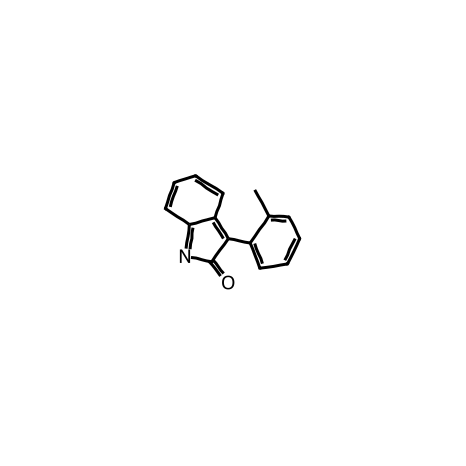 Cc1ccccc1C1=c2ccccc2=NC1=O